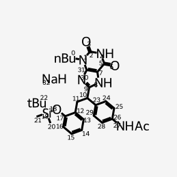 CCCCn1c(=O)[nH]c(=O)c2[nH]c(C(Cc3ccccc3O[Si](C)(C)C(C)(C)C)c3ccc(NC(C)=O)cc3)nc21.[NaH]